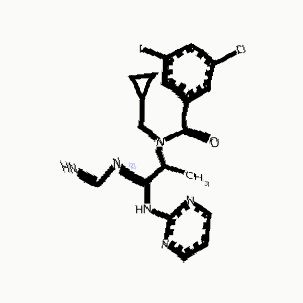 CC(/C(=N/C=N)Nc1ncccn1)N(CC1CC1)C(=O)c1cc(Cl)cc(I)c1